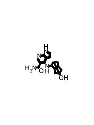 NC(=O)c1cnc2[nH]ccc2c1NC1C2CC3(O)CC2CC13